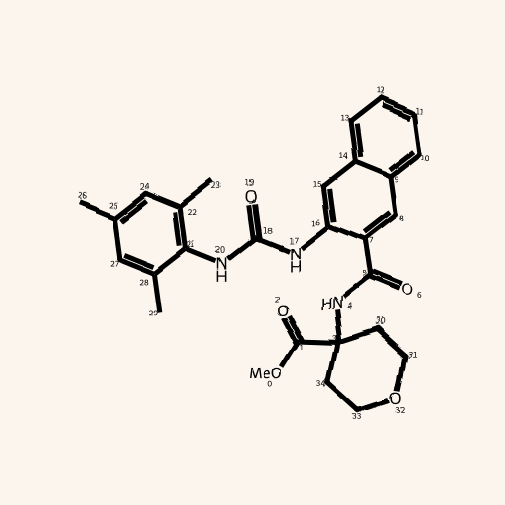 COC(=O)C1(NC(=O)c2cc3ccccc3cc2NC(=O)Nc2c(C)cc(C)cc2C)CCOCC1